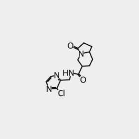 O=C(NCc1nccnc1Cl)C1CCC2CCC(=O)N2C1